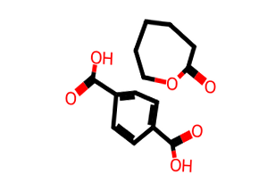 O=C(O)c1ccc(C(=O)O)cc1.O=C1CCCCCO1